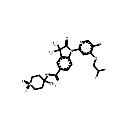 CC1(NC(=O)c2ccc3c(c2)C(C)(C)C(=O)N3c2cc(OCC(F)F)c(F)cn2)CCS(=O)(=O)CC1